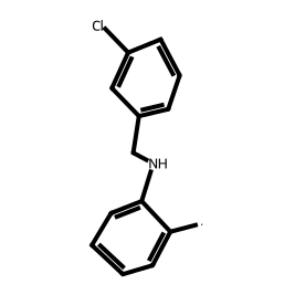 [CH2]c1ccccc1NCc1cccc(Cl)c1